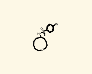 O=S(=O)(NC1CCCCCCCCCC1)c1ccc(Br)cc1